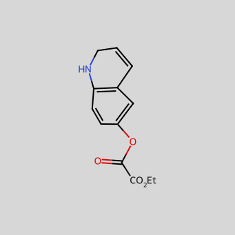 CCOC(=O)C(=O)Oc1ccc2c(c1)C=CCN2